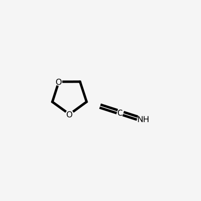 C1COCO1.C=C=N